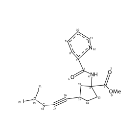 COC(=O)C1(NC(=O)c2ccccn2)CCC(C#CSP(I)I)C1